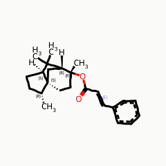 C[C@@H]1CC[C@H]2C(C)(C)[C@H]3C[C@@]12CC[C@@]3(C)OC(=O)/C=C/c1ccccc1